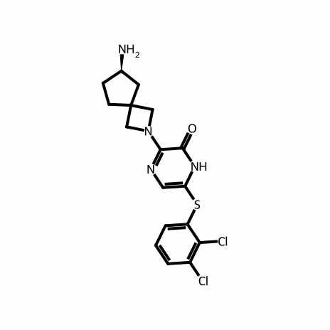 N[C@@H]1CCC2(C1)CN(c1ncc(Sc3cccc(Cl)c3Cl)[nH]c1=O)C2